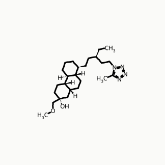 CC[C@H](CC[C@@H]1CCC[C@H]2[C@H]1CC[C@@H]1C[C@@](O)(COC)CC[C@@H]12)CCn1nnnc1C